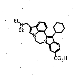 CCN(CC)Cc1cn2c3c(cccc13)-c1c(C3CCCCC3)c3ccc(C(=O)O)cc3n1CC2